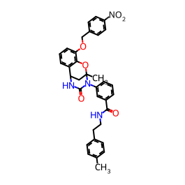 Cc1ccc(CCNC(=O)c2cccc(N3C(=O)NC4CC3(C)Oc3c(OCc5ccc([N+](=O)[O-])cc5)cccc34)c2)cc1